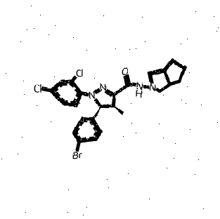 C[C@@H]1C(C(=O)NN2CC3CCCC3C2)=NN(c2ccc(Cl)cc2Cl)[C@@H]1c1ccc(Br)cc1